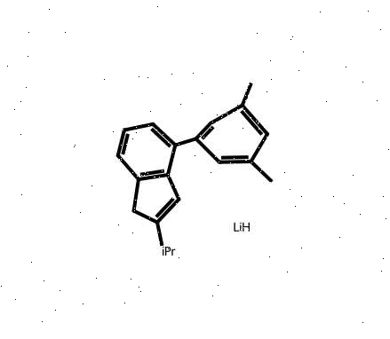 Cc1cc(C)cc(-c2cccc3c2C=C(C(C)C)C3)c1.[LiH]